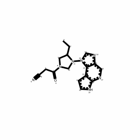 CCC1CN(C(=O)CC#N)CN1n1cnc2cnc3[nH]ccc3c21